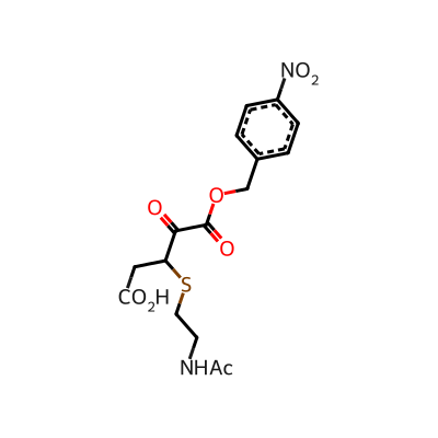 CC(=O)NCCSC(CC(=O)O)C(=O)C(=O)OCc1ccc([N+](=O)[O-])cc1